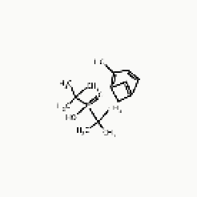 CC(C)(C)P(=O)(O)C(C)(C)C.Oc1ccc2cc1C2